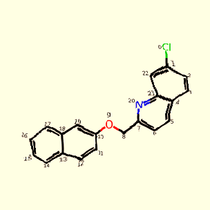 Clc1ccc2ccc(COc3ccc4c[c]ccc4c3)nc2c1